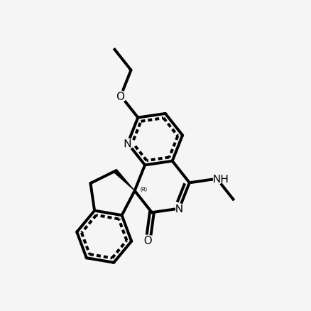 CCOc1ccc2c(n1)[C@]1(CCc3ccccc31)C(=O)N=C2NC